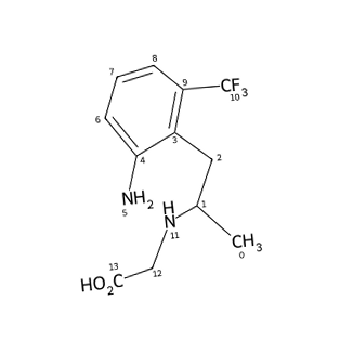 CC(Cc1c(N)cccc1C(F)(F)F)NCC(=O)O